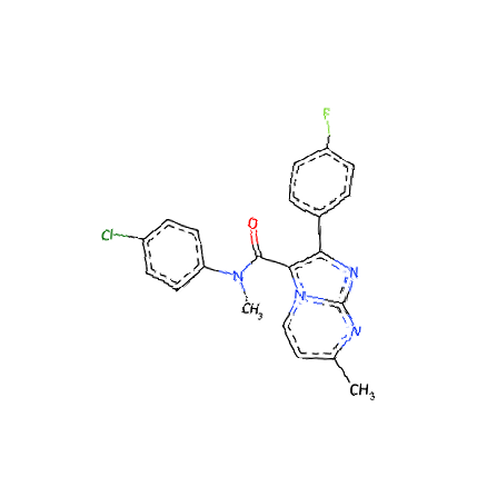 Cc1ccn2c(C(=O)N(C)c3ccc(Cl)cc3)c(-c3ccc(F)cc3)nc2n1